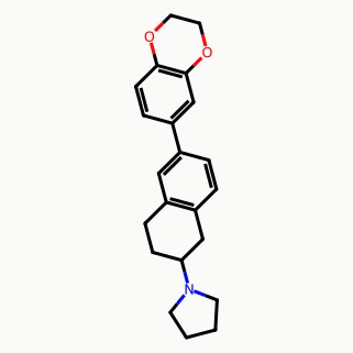 c1cc2c(cc1-c1ccc3c(c1)OCCO3)CCC(N1CCCC1)C2